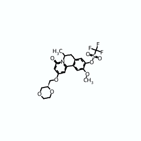 COc1cc2c(cc1OS(=O)(=O)C(F)(F)F)CC(C)n1c-2cc(OC[C@@H]2COCCO2)cc1=O